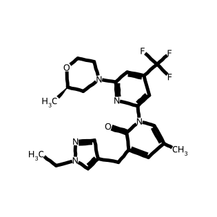 CCn1cc(Cc2cc(C)cn(-c3cc(C(F)(F)F)cc(N4CCO[C@H](C)C4)n3)c2=O)cn1